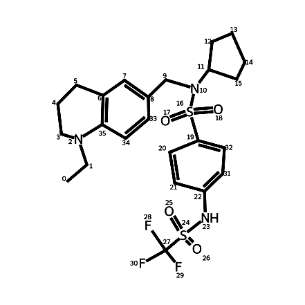 CCN1CCCc2cc(CN(C3CCCC3)S(=O)(=O)c3ccc(NS(=O)(=O)C(F)(F)F)cc3)ccc21